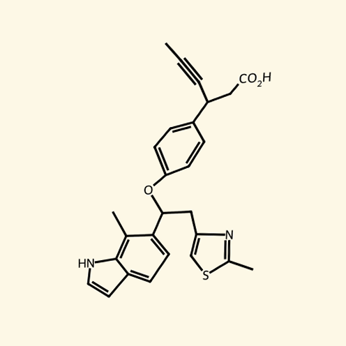 CC#CC(CC(=O)O)c1ccc(OC(Cc2csc(C)n2)c2ccc3cc[nH]c3c2C)cc1